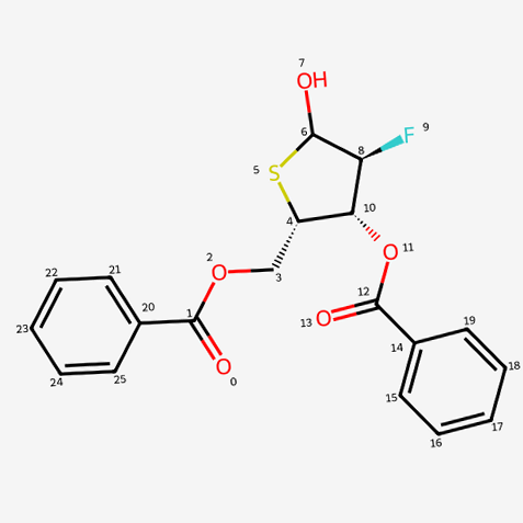 O=C(OC[C@@H]1SC(O)[C@@H](F)[C@@H]1OC(=O)c1ccccc1)c1ccccc1